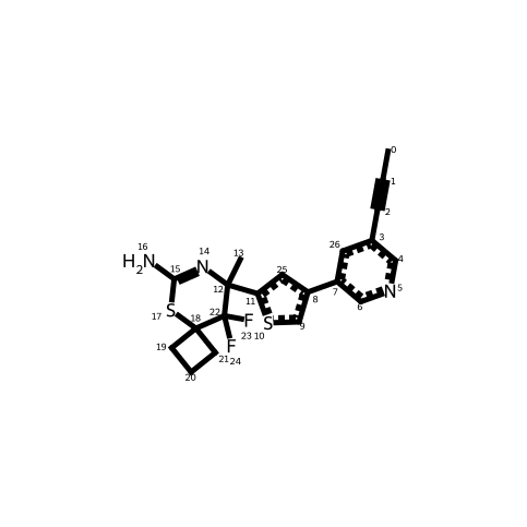 CC#Cc1cncc(-c2csc(C3(C)N=C(N)SC4(CCC4)C3(F)F)c2)c1